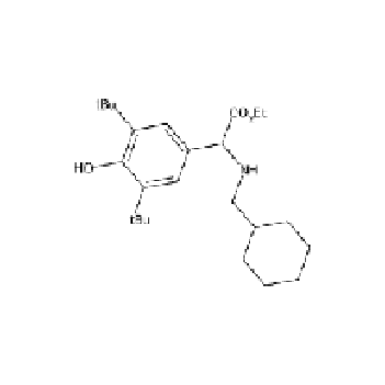 CCOC(=O)C(NCC1CCCCC1)c1cc(C(C)(C)C)c(O)c(C(C)(C)C)c1